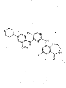 COc1cc(N2CCOCC2)ccc1Nc1nc(Nc2cc(F)cc3c2OCCNC3=O)ncc1Cl